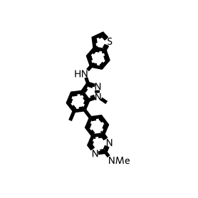 CNc1ncc2cc(-c3c(C)ccc4c(Nc5ccc6sccc6c5)nn(C)c34)ccc2n1